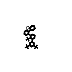 CC(C)(C)c1cc(-c2cccc(-c3cccc4oc5ccccc5c34)c2C(C)(C)C)cc(C(C)(C)C)c1